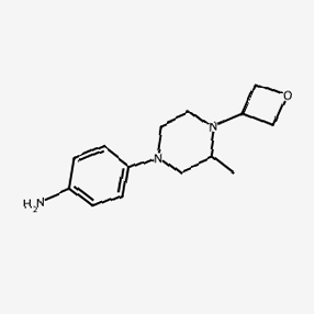 CC1CN(c2ccc(N)cc2)CCN1C1COC1